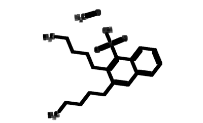 C=O.CCCCCc1cc2ccccc2c(S(=O)(=O)O)c1CCCCC